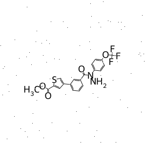 COC(=O)c1cc(-c2cccc(C(=O)N(N)c3ccc(OC(F)(F)F)cc3)c2)cs1